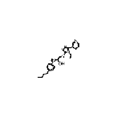 CCCCc1ccc(NC(O)CSc2nnc(-c3cccnc3)n2CC)cc1